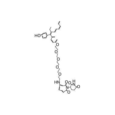 C=C\C=C/C=C/C(CC)=C(\C(=C)/C=C\C(=C)OCCOCCOCCOCCOCCNC1=C\C(=O)N(C2CCC(=O)NC2=O)C(=O)/C=C/C=C\1)c1ccc(O)cc1